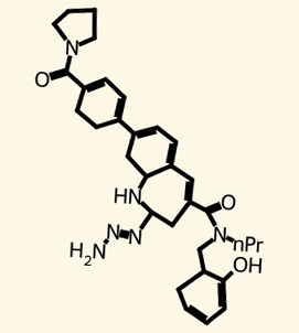 CCCN(CC1CC=CC=C1O)C(=O)C1=CC2=CC=C(C3=CC=C(C(=O)N4CCCC4)CC3)CC2NC(N=NN)C1